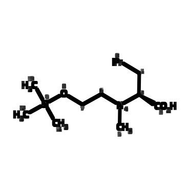 CC(C)C[C@@H](C(=O)O)N(C)CCO[Si](C)(C)C